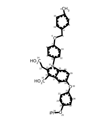 Cc1ccc(COc2ccc(-n3c(CC(=O)O)c(C(=O)O)c4cc(Oc5ccc(OC(C)C)cc5)ccc43)cc2)cc1